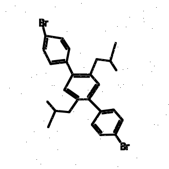 CC(C)Cc1cc(-c2ccc(Br)cc2)c(CC(C)C)cc1-c1ccc(Br)cc1